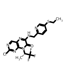 CCSc1ccc(CNc2nc3cnc(Cl)nc3n([C@@H](C)C(F)(F)F)c2=O)nc1